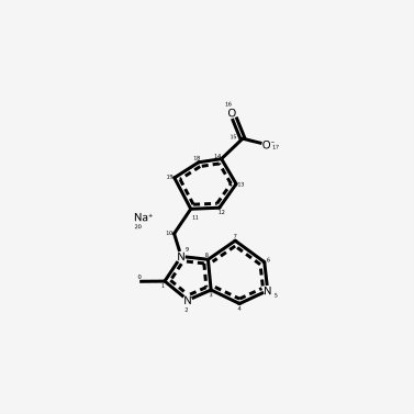 Cc1nc2cnccc2n1Cc1ccc(C(=O)[O-])cc1.[Na+]